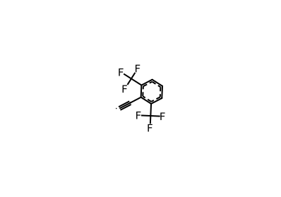 [C]#Cc1c(C(F)(F)F)cccc1C(F)(F)F